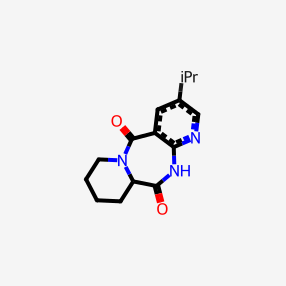 CC(C)c1cnc2c(c1)C(=O)N1CCCCC1C(=O)N2